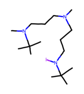 CN(CCCN(C)C(C)(C)C)CCCN(I)C(C)(C)C